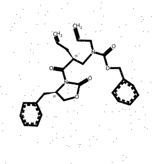 C=CC[C@@H](CN(CC=C)C(=O)OCc1ccccc1)C(=O)N1C(=O)OC[C@H]1Cc1ccccc1